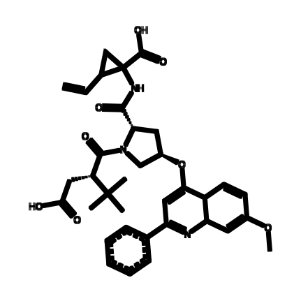 C=CC1CC1(NC(=O)[C@@H]1C[C@@H](OC2=CC(c3ccccc3)=NC3C=C(OC)C=CC23)CN1C(=O)[C@@H](CC(=O)O)C(C)(C)C)C(=O)O